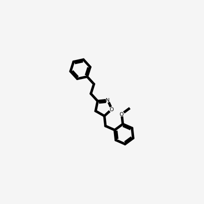 COc1ccccc1CC1CC(CCc2ccccc2)=NO1